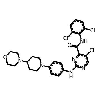 O=C(Nc1c(Cl)cccc1Cl)c1nc(Nc2ccc(N3CCC(N4CCOCC4)CC3)cc2)ncc1Cl